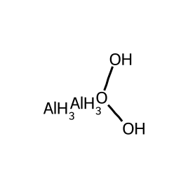 OOO.[AlH3].[AlH3]